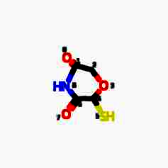 O=C1COC(S)C(=O)N1